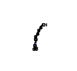 C#CCOCCOCCOCCOc1ccc(/C=C/c2ccc([N+](=O)[O-])cc2)cc1